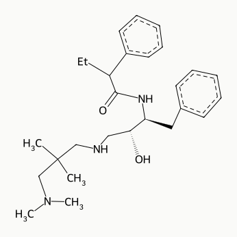 CCC(C(=O)N[C@@H](Cc1ccccc1)[C@H](O)CNCC(C)(C)CN(C)C)c1ccccc1